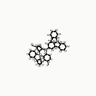 Cc1ccc2c(c1)[Si]1(c3ccccc3-c3ccccc31)c1cc(C)ccc1N2c1cc2c3ccccc3n3c4ccccc4c(c1)c23